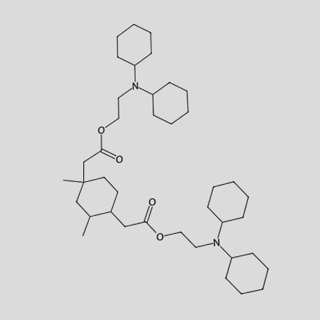 CC1CC(C)(CC(=O)OCCN(C2CCCCC2)C2CCCCC2)CCC1CC(=O)OCCN(C1CCCCC1)C1CCCCC1